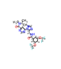 CC(C)N(C)C(=O)c1cc(-n2ncnc2CNC(=O)c2cc(OC(F)F)cc(OC(F)F)c2)ncn1